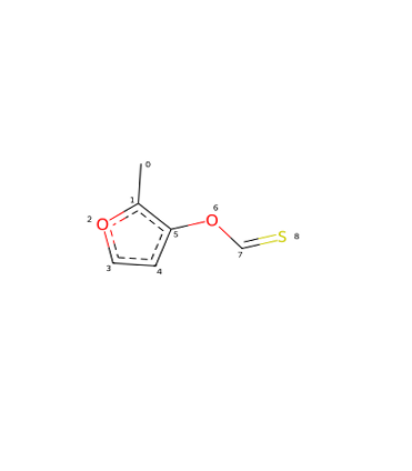 Cc1occc1OC=S